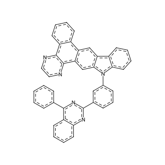 c1ccc(-c2nc(-c3cccc(-n4c5ccccc5c5cc6c7ccccc7c7nccnc7c6cc54)c3)nc3ccccc23)cc1